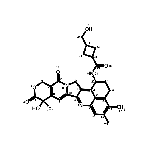 CC[C@@]1(O)C(=O)OCc2c1cc1n(c2=O)Cc2c-1nc1cc(F)c(C)c3c1c2[C@@H](NC(=O)C1CC(CO)C1)CC3